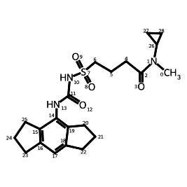 CN(C(=O)CCCS(=O)(=O)NC(=O)Nc1c2c(cc3c1CCC3)CCC2)C1CC1